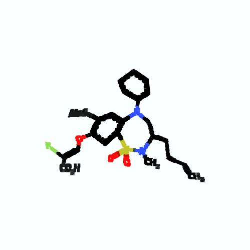 C=CCCC1CN(c2ccccc2)c2cc(SC)c(O/C=C(\F)C(=O)O)cc2S(=O)(=O)N1C